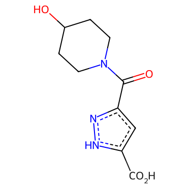 O=C(O)c1cc(C(=O)N2CCC(O)CC2)n[nH]1